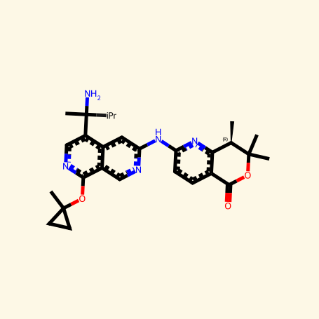 CC(C)C(C)(N)c1cnc(OC2(C)CC2)c2cnc(Nc3ccc4c(n3)[C@@H](C)C(C)(C)OC4=O)cc12